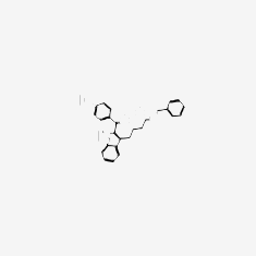 O=C(CCCc1c(C(=O)c2ccc(O)cc2)[nH]c2ccccc12)OCc1ccccc1